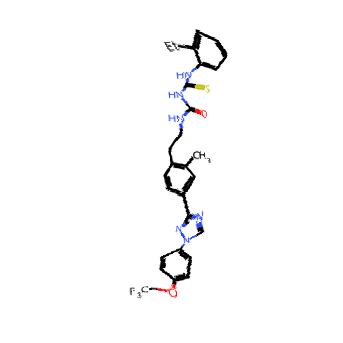 CCc1ccccc1NC(=S)NC(=O)NCCc1ccc(-c2ncn(-c3ccc(OC(F)(F)F)cc3)n2)cc1C